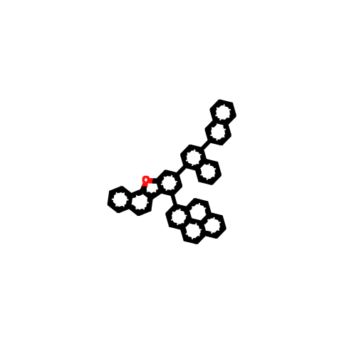 c1ccc2cc(-c3ccc(-c4cc(-c5ccc6ccc7cccc8ccc5c6c78)c5c(c4)oc4c6ccccc6ccc45)c4ccccc34)ccc2c1